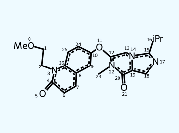 COCCn1c(=O)ccc2cc(Oc3cn4c(C(C)C)ncc4c(=O)n3C)ccc21